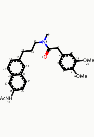 COc1ccc(CC(=O)N(C)CC[CH]c2ccc3cc(NC(C)=O)ccc3c2)cc1OC